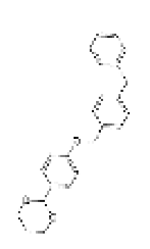 c1ccc(Cc2ccc(COc3ccc(C4OCCCO4)cc3)cc2)cc1